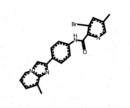 Cc1cnc(C(=O)Nc2ccc(-c3cn4cccc(C)c4n3)cc2)c(Br)c1